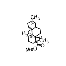 COC(=O)[C@]1(C)CCC[C@@]2(C)C3=CC[C@@H](C)CC3CC[C@H]12